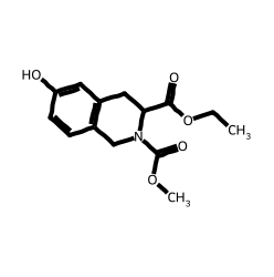 CCOC(=O)C1Cc2cc(O)ccc2CN1C(=O)OC